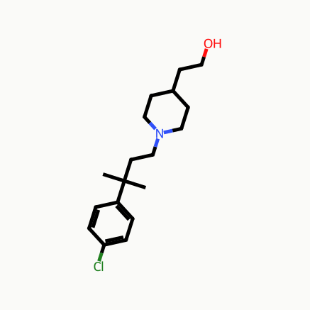 CC(C)(CCN1CCC(CCO)CC1)c1ccc(Cl)cc1